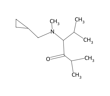 CC(C)C(=O)C(C(C)C)N(C)CC1CC1